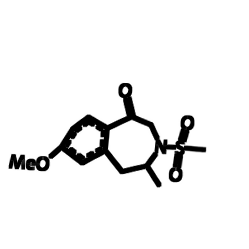 COc1ccc2c(c1)CC(C)N(S(C)(=O)=O)CC2=O